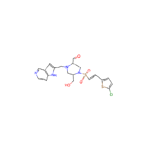 O=CC1CN(S(=O)(=O)C=Cc2ccc(Cl)s2)C(CO)CN1Cc1cc2cnccc2[nH]1